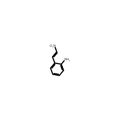 Nc1ccccc1/C=C/[N+](=O)[O-]